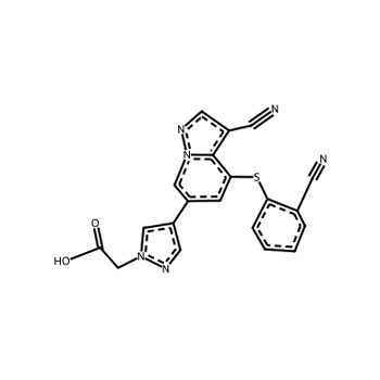 N#Cc1ccccc1Sc1cc(-c2cnn(CC(=O)O)c2)cn2ncc(C#N)c12